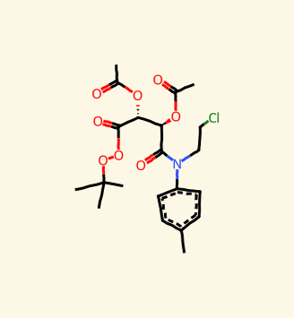 CC(=O)O[C@@H](C(=O)OOC(C)(C)C)[C@@H](OC(C)=O)C(=O)N(CCCl)c1ccc(C)cc1